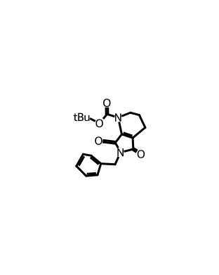 CC(C)(C)OC(=O)N1CCCC2=C1C(=O)N(Cc1ccccc1)C2=O